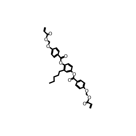 C=CC(=O)OCOc1ccc(C(=O)Oc2ccc(OC(=O)c3ccc(OCOC(=O)C=C)cc3)c(CCCCC)c2)cc1